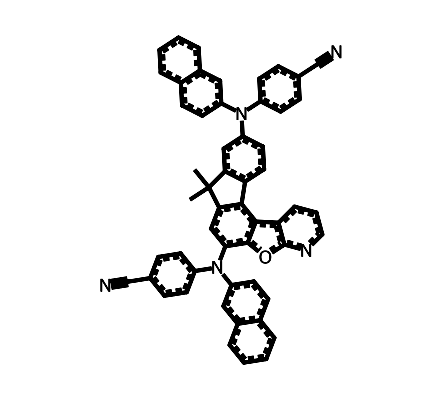 CC1(C)c2cc(N(c3ccc(C#N)cc3)c3ccc4ccccc4c3)ccc2-c2c1cc(N(c1ccc(C#N)cc1)c1ccc3ccccc3c1)c1oc3ncccc3c21